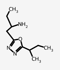 CCC(N)Cc1nnc(C(C)CC)o1